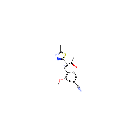 COc1cc(C#N)ccc1/C=C(\C(C)=O)c1nnc(C)s1